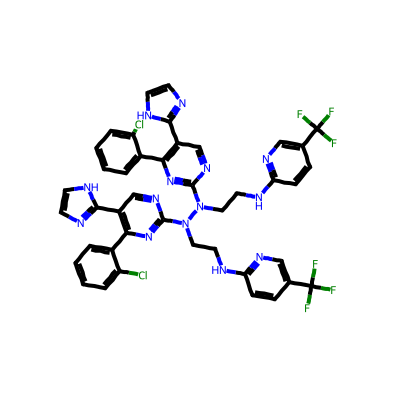 FC(F)(F)c1ccc(NCCN(c2ncc(-c3ncc[nH]3)c(-c3ccccc3Cl)n2)N(CCNc2ccc(C(F)(F)F)cn2)c2ncc(-c3ncc[nH]3)c(-c3ccccc3Cl)n2)nc1